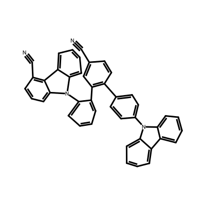 N#Cc1ccc(-c2ccc(-n3c4ccccc4c4ccccc43)cc2)c(-c2ccccc2-n2c3ccccc3c3c(C#N)cccc32)c1